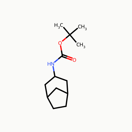 CC(C)(C)OC(=O)NC1CC2CCC(C2)C1